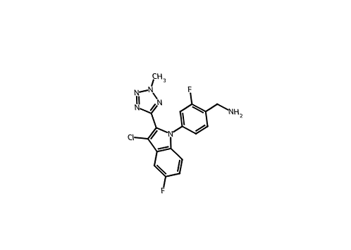 Cn1nnc(-c2c(Cl)c3cc(F)ccc3n2-c2ccc(CN)c(F)c2)n1